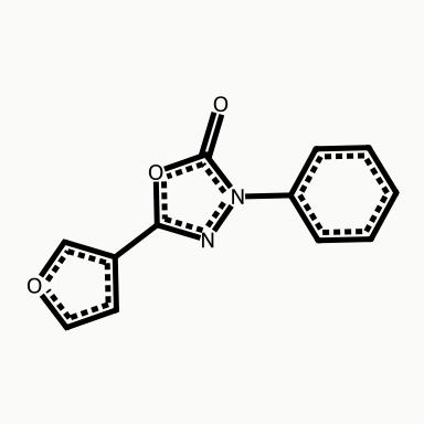 O=c1oc(-c2ccoc2)nn1-c1ccccc1